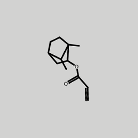 C=CC(=O)OC1CC2CCC1(C)C2C